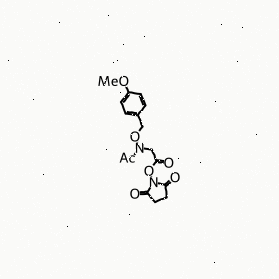 COc1ccc(CON(CC(=O)ON2C(=O)CCC2=O)C(C)=O)cc1